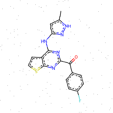 Cc1cc(Nc2nc(C(=O)c3ccc(F)cc3)nc3sccc23)n[nH]1